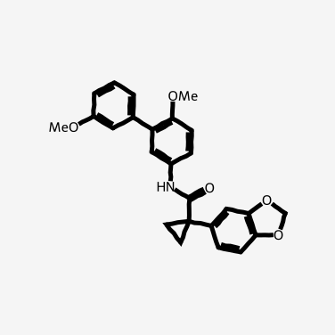 COc1cccc(-c2cc(NC(=O)C3(c4ccc5c(c4)OCO5)CC3)ccc2OC)c1